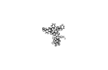 C=C[C@@H]1C[C@]1(NC(=O)[C@@H]1C[C@@H](Oc2cc(-c3ccccc3)nc3cc(OC)ccc23)CN1C(=O)[C@@H](CC(=O)N1CCCCC1)C(C)(C)C)C(=O)N([SH](=O)=O)C1(Cl)CC1